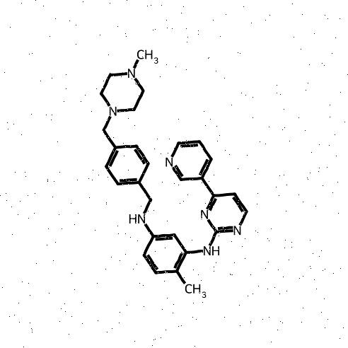 Cc1ccc(NCc2ccc(CN3CCN(C)CC3)cc2)cc1Nc1nccc(-c2cccnc2)n1